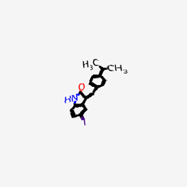 CC(C)c1ccc(C=C2C(=O)Nc3ccc(I)cc32)cc1